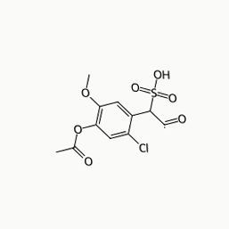 COc1cc(C([C]=O)S(=O)(=O)O)c(Cl)cc1OC(C)=O